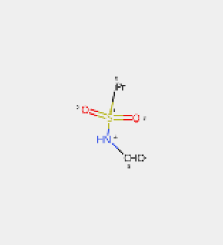 CC(C)S(=O)(=O)N[C]=O